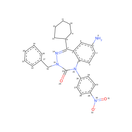 Nc1ccc2c(c1)C(C1CCCCC1)=NN(Cc1ccccc1)C(=O)N2c1ccc([N+](=O)[O-])cc1